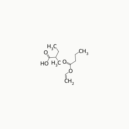 C=COC(=O)CCC.CCC(C)C(=O)O